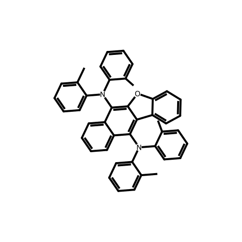 Cc1ccccc1N(c1ccccc1C)c1c2ccccc2c(N(c2ccccc2C)c2ccccc2C)c2c1oc1ccccc12